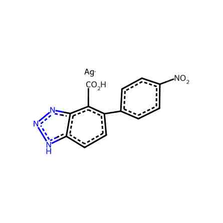 O=C(O)c1c(-c2ccc([N+](=O)[O-])cc2)ccc2[nH]nnc12.[Ag]